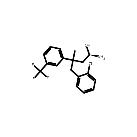 CC(Cc1ccccc1Cl)(C[C@H](N)O)c1cccc(C(F)(F)F)c1